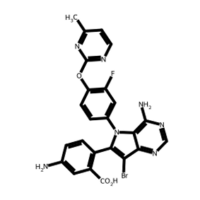 Cc1ccnc(Oc2ccc(-n3c(-c4ccc(N)cc4C(=O)O)c(Br)c4ncnc(N)c43)cc2F)n1